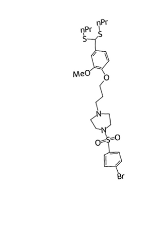 CCCSC(SCCC)c1ccc(OCCCN2CCN(S(=O)(=O)c3ccc(Br)cc3)CC2)c(OC)c1